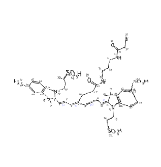 CC1(C)C(/C=C/C=C(/C=C/C=C2/N(CCS(=O)(=O)O)c3ccc(S(=O)(=O)O)cc3C2(C)C)CCC(=O)NCCCNC(=O)CBr)=[N+](CCS(=O)(=O)O)c2ccc(S(=O)(=O)O)cc21